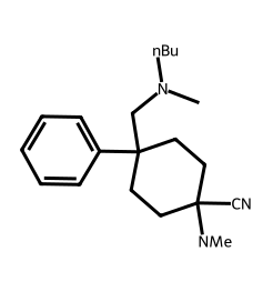 CCCCN(C)CC1(c2ccccc2)CCC(C#N)(NC)CC1